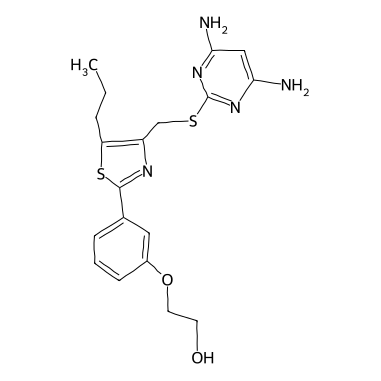 CCCc1sc(-c2cccc(OCCO)c2)nc1CSc1nc(N)cc(N)n1